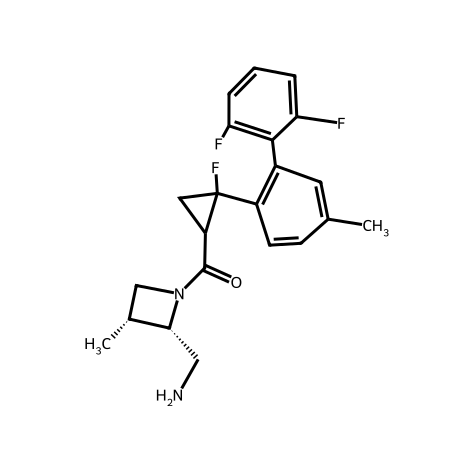 Cc1ccc(C2(F)CC2C(=O)N2C[C@@H](C)[C@H]2CN)c(-c2c(F)cccc2F)c1